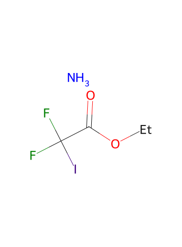 CCOC(=O)C(F)(F)I.N